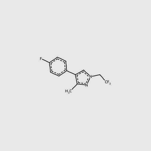 Cc1nn(CC(F)(F)F)cc1-c1ccc(F)cc1